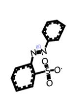 [O]S(=O)(=O)c1ccccc1/N=N/c1ccccc1